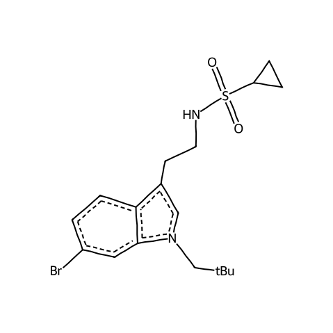 CC(C)(C)Cn1cc(CCNS(=O)(=O)C2CC2)c2ccc(Br)cc21